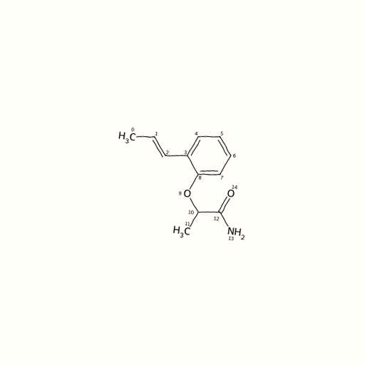 CC=Cc1ccccc1OC(C)C(N)=O